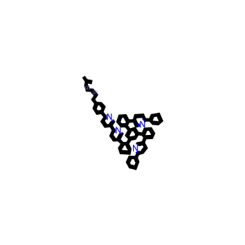 C=C(C)/C=C\C=C/Cc1ccc(-c2ccc(-c3ccc(-c4ccccc4-c4cc(-c5ccccc5-c5ccc(-c6ccccc6)nc5)cc(-c5ccccc5-c5ccc(-c6ccccc6)nc5)c4)cn3)cn2)cc1